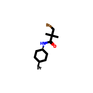 CC(C)[C@H]1CC[C@H](NC(=O)C(C)(C)CBr)CC1